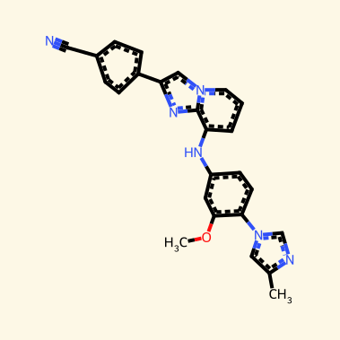 COc1cc(Nc2cccn3cc(-c4ccc(C#N)cc4)nc23)ccc1-n1cnc(C)c1